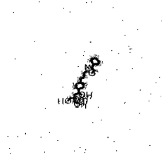 OCC(CO)(CC(O)c1ccc(CCCc2nc(-c3ccccc3)co2)cc1)NCl